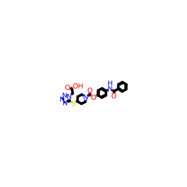 O=C(O)Cn1nnnc1SC1CCN(C(=O)Oc2ccc(NC(=O)c3ccccc3)cc2)CC1